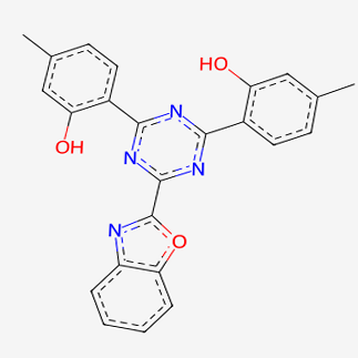 Cc1ccc(-c2nc(-c3nc4ccccc4o3)nc(-c3ccc(C)cc3O)n2)c(O)c1